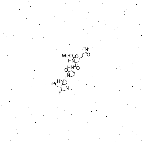 COC(=O)NC(CCC=CC(=O)N(C)C)C(=O)Nc1cccn(Cc2cc3ncc(F)c(CC(C)C)c3[nH]2)c1=O